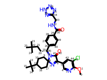 COc1ncc(C2=NC3(CCC(C(C)(C)C)CC3)N([C@H](CCC(C)(C)C)c3ccc(C(=O)NCc4nn[nH]n4)cc3)C2=O)cc1Cl